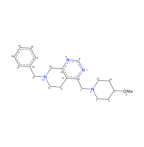 COC1CCN(Cc2ncnc3c2CCN(Cc2ccccc2)C3)CC1